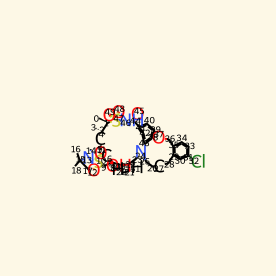 C[C@@H]1[C@@H](C)CCC[C@](O)(CS(=O)(=O)N(C)C(C)(C)C)[C@@H]2CC[C@H]2CN2CCCCc3cc(Cl)ccc3COc3ccc(cc32)C(=O)NS1(=O)=O